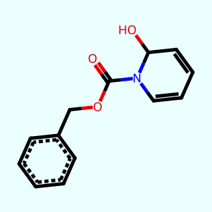 O=C(OCc1ccccc1)N1C=CC=CC1O